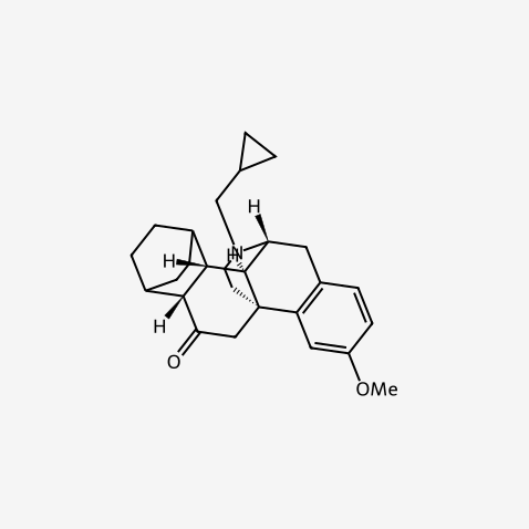 COc1ccc2c(c1)[C@]13CCN(CC4CC4)[C@H](C2)[C@@H]1[C@H]1C2CCC(CC2)[C@H]1C(=O)C3